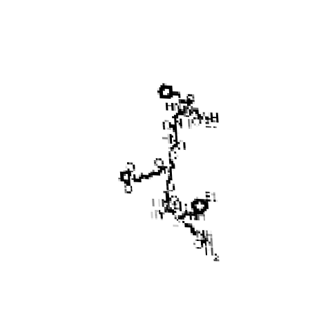 CCNC(=O)CNC(=O)[C@H](Cc1ccccc1)NC(=O)CNC(=O)CNC(=O)COCCN(CCOCC(=O)N[C@H](C(=O)N[C@@H](CCCNC(N)=O)C(=O)Nc1ccc(CC)cc1)C(C)C)C(=O)CCCCCN1C(=O)C=CC1=O